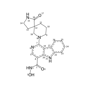 O=C(NO)c1cnc(N2CCCC3(CCNC3=O)C2)c2c1[nH]c1ccccc12